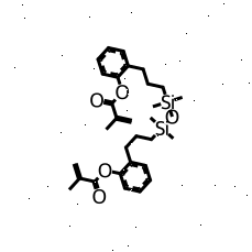 C=C(C)C(=O)Oc1ccccc1CCC[Si](C)(C)O[Si](C)(C)CCCc1ccccc1OC(=O)C(=C)C